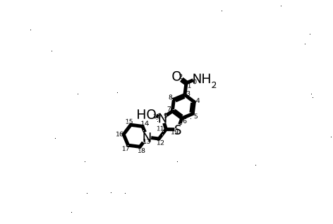 NC(=O)c1ccc2c(c1)N(O)C(CN1CCCCC1)S2